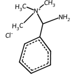 C[N+](C)(C)C(N)c1ccccc1.[Cl-]